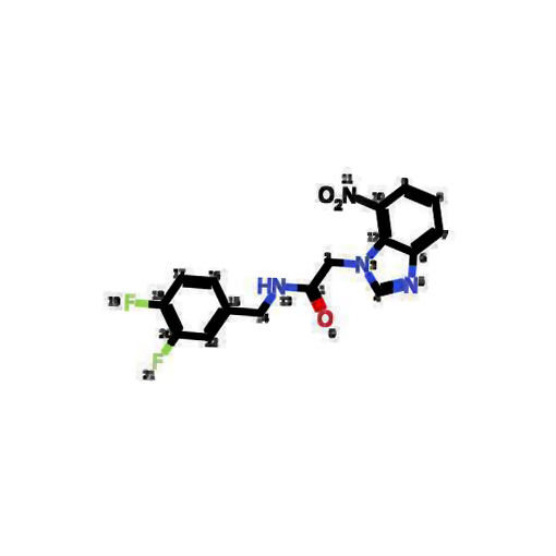 O=C(Cn1cnc2cccc([N+](=O)[O-])c21)NCc1ccc(F)c(F)c1